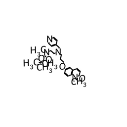 CN(CCN(CCCOc1ccc2c(ccc(=O)n2C)c1)Cc1ccncc1)C(=O)OC(C)(C)C